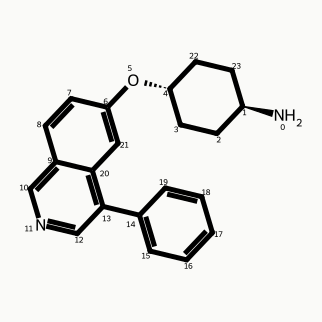 N[C@H]1CC[C@H](Oc2ccc3cncc(-c4ccccc4)c3c2)CC1